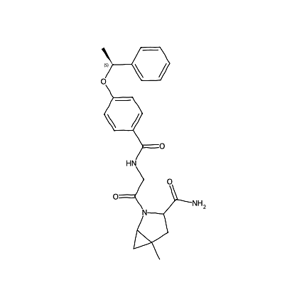 C[C@H](Oc1ccc(C(=O)NCC(=O)N2C(C(N)=O)CC3(C)CC23)cc1)c1ccccc1